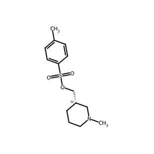 Cc1ccc(S(=O)(=O)OC[C@H]2CCCN(C)C2)cc1